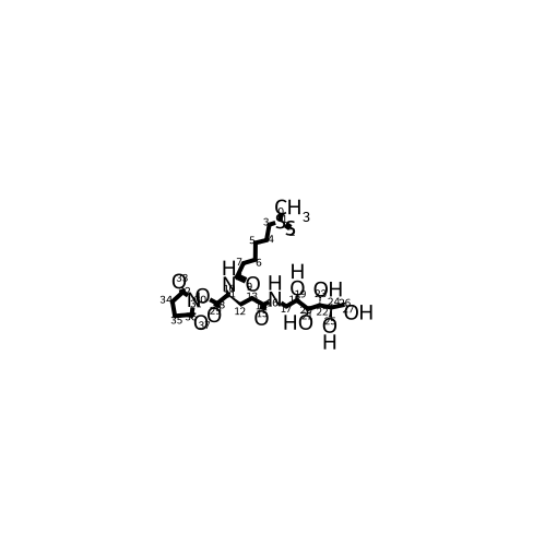 CS(=S)CCCCCC(=O)N[C@@H](CCC(=O)NC[C@H](O)[C@@H](O)[C@H](O)[C@H](O)CO)C(=O)ON1C(=O)CCC1=O